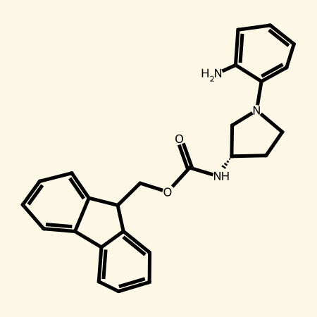 Nc1ccccc1N1CC[C@H](NC(=O)OCC2c3ccccc3-c3ccccc32)C1